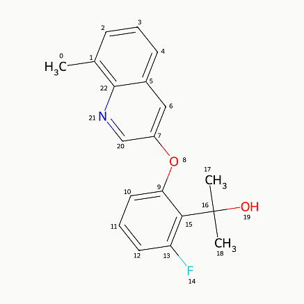 Cc1cccc2cc(Oc3cccc(F)c3C(C)(C)O)cnc12